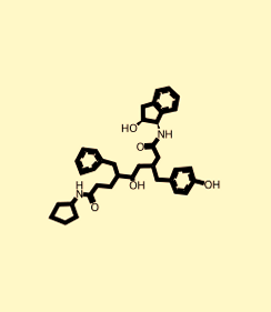 O=C(CCC(Cc1ccccc1)C(O)CC(CC(=O)N[C@H]1c2ccccc2C[C@@H]1O)Cc1ccc(O)cc1)NC1CCCC1